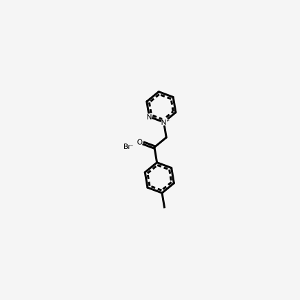 Cc1ccc(C(=O)C[n+]2ccccn2)cc1.[Br-]